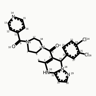 CC1=C(C(=O)N2CCN(C(=O)c3ccncc3)CC2)C(c2ccc(Cl)c(Cl)c2)n2nccc2N1